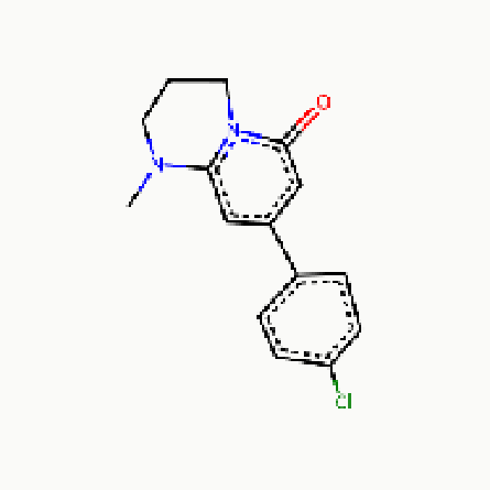 CN1CCCn2c1cc(-c1ccc(Cl)cc1)cc2=O